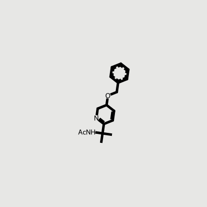 CC(=O)NC(C)(C)C1=NCC(OCc2ccccc2)C=C1